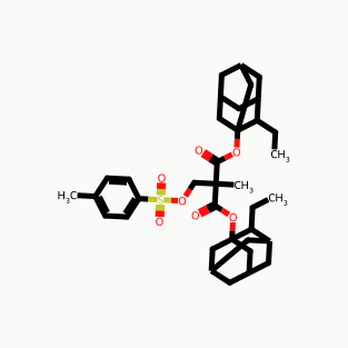 CCC1C2CC3CC(C2)CC1(OC(=O)C(C)(COS(=O)(=O)c1ccc(C)cc1)C(=O)OC12CC4CC(CC(C4)C1CC)C2)C3